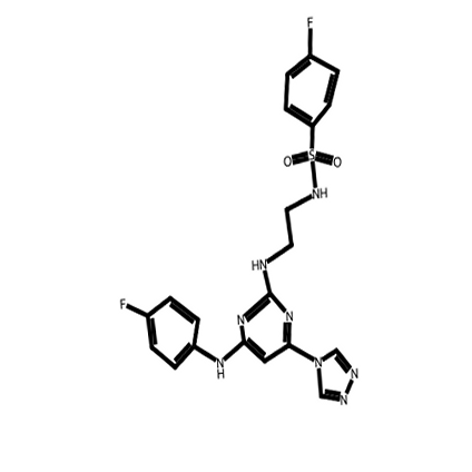 O=S(=O)(NCCNc1nc(Nc2ccc(F)cc2)cc(-n2cnnc2)n1)c1ccc(F)cc1